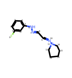 Fc1cccc(N/N=C/C=N/N2CCCCC2)c1